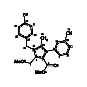 COCc1c(C(=O)OC)c(-c2cccc(C#N)c2)c(C)n1Cc1ccc(F)cc1